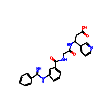 N=C(Nc1cccc(C(=O)NCC(=O)NC(CC(=O)O)c2cccnc2)c1)c1ccccc1